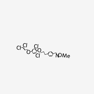 CO/N=C/c1ccc(CCCOc2c(Cl)cc(OCC=C(Cl)Cl)cc2Cl)cc1